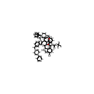 CC(C)(C)OC(=O)n1c(-c2ccc(Cl)c3c2C(C(=O)C2NCc4c(Cl)ccc(-c5cc6cc(CN7CCN(c8ccncc8)CC7)ccc6n5C(=O)OC(C)(C)C)c42)NC3)cc2cc(CN3CCN(c4ccncc4)CC3)ccc21